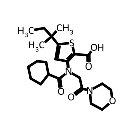 CCC(C)(C)c1cc(N(CC(=O)N2CCOCC2)C(=O)C2CCCCC2)c(C(=O)O)s1